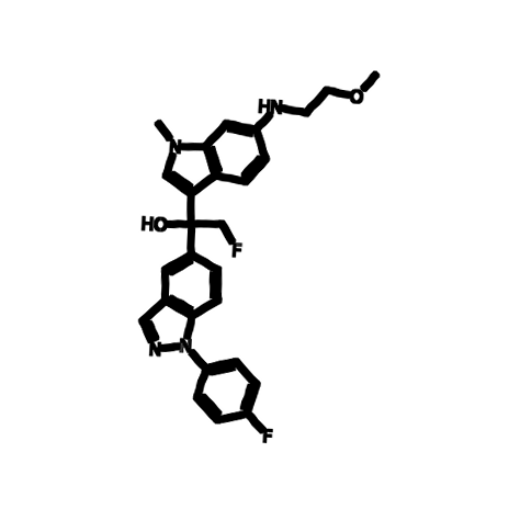 COCCNc1ccc2c(C(O)(CF)c3ccc4c(cnn4-c4ccc(F)cc4)c3)cn(C)c2c1